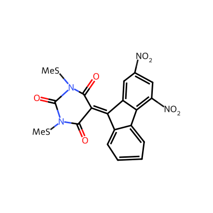 CSN1C(=O)C(=C2c3ccccc3-c3c2cc([N+](=O)[O-])cc3[N+](=O)[O-])C(=O)N(SC)C1=O